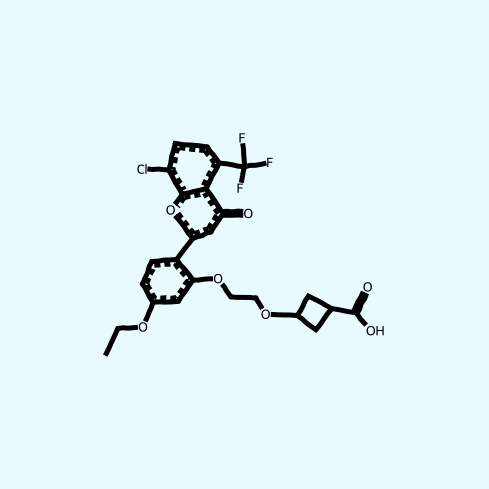 CCOc1ccc(-c2cc(=O)c3c(C(F)(F)F)ccc(Cl)c3o2)c(OCCOC2CC(C(=O)O)C2)c1